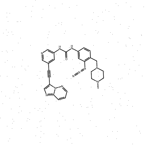 CN1CCN(Cc2ccc(NC(=O)Nc3cncc(C#Cc4cnc5cccnn45)c3)cc2N=[N+]=[N-])CC1